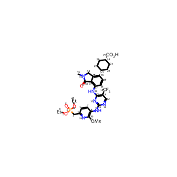 CCOP(=O)(Cc1ccc(Nc2ncc(C(F)(F)F)c(Nc3ccc([C@H]4CC[C@@H](C(=O)O)CC4)c4c3C(=O)N(C)C4)n2)c(OC)n1)OCC